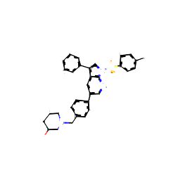 Cc1ccc(S(=O)(=O)n2cc(-c3cccc(C)c3)c3cc(-c4ccc(CN5CCCC(O)C5)cc4)cnc32)cc1